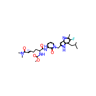 COC(=O)NC(CC/C=C/C(=O)N(C)C)C(=O)Nc1cccn(Cc2cc3nc(C)c(F)c(CC(C)C)c3[nH]2)c1=O